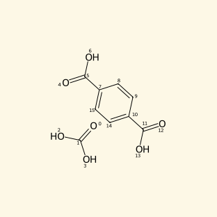 O=C(O)O.O=C(O)c1ccc(C(=O)O)cc1